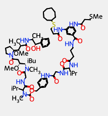 CC[C@H](C)[C@@H]([C@@H](CC(=O)N1CCC[C@H]1[C@H](OC)[C@@H](C)C(=O)N[C@H](C)[C@@H](O)c1ccccc1)OC)N(C)C(=O)CNC(=O)C(C(C)C)N(C)C(=O)OCc1ccc(NC(=O)CNC(=O)C(NC(=O)CCCNC(=O)c2cc(NC(=O)CCSC)cc(NC(=O)CCSC3CCCCCCC3)c2)C(C)C)cc1